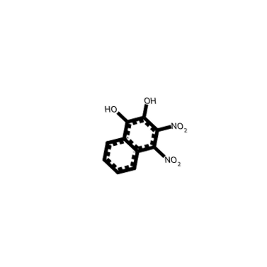 O=[N+]([O-])c1c(O)c(O)c2ccccc2c1[N+](=O)[O-]